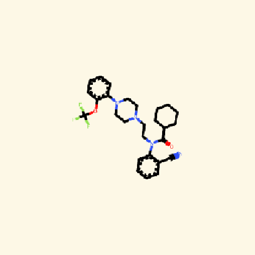 N#Cc1ccccc1N(CCN1CCN(c2ccccc2OC(F)(F)F)CC1)C(=O)C1CCCCC1